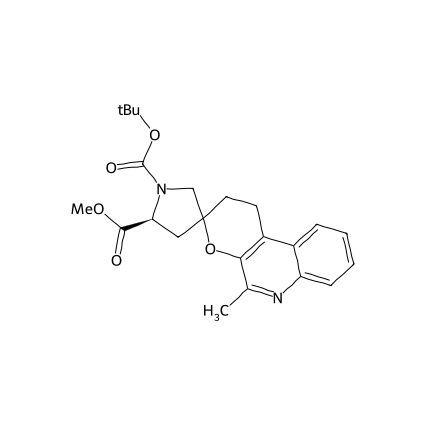 COC(=O)[C@@H]1CC2(CCc3c(c(C)nc4ccccc34)O2)CN1C(=O)OC(C)(C)C